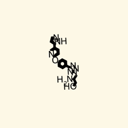 N[C@H](CO)Cn1nnc(-c2ccc(Oc3ccc(-c4ccn[nH]4)cn3)cc2)n1